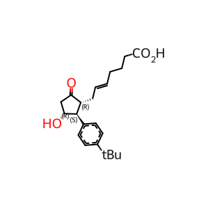 CC(C)(C)c1ccc([C@H]2[C@H](O)CC(=O)[C@@H]2CC=CCCCC(=O)O)cc1